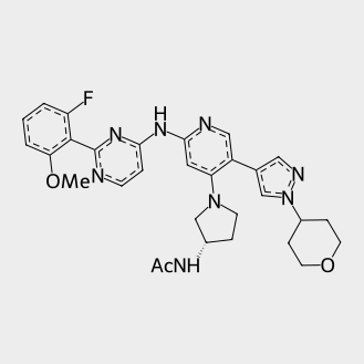 COc1cccc(F)c1-c1nccc(Nc2cc(N3CC[C@H](NC(C)=O)C3)c(-c3cnn(C4CCOCC4)c3)cn2)n1